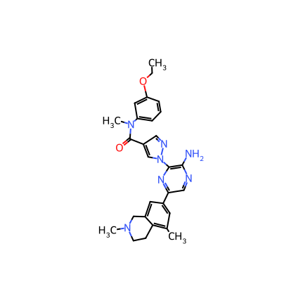 CCOc1cccc(N(C)C(=O)c2cnn(-c3nc(-c4cc(C)c5c(c4)CN(C)CC5)cnc3N)c2)c1